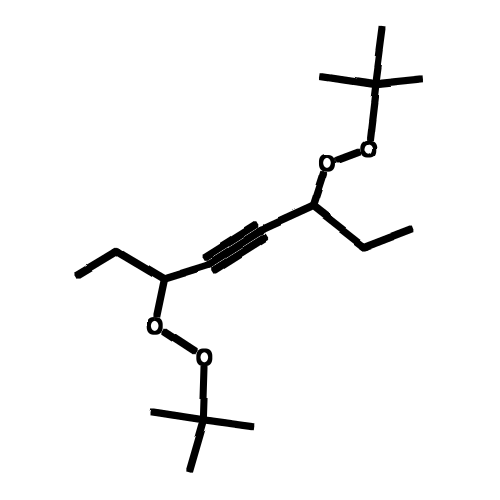 CCC(C#CC(CC)OOC(C)(C)C)OOC(C)(C)C